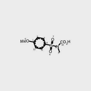 COc1ccc(S(=O)(=O)N(C)C(=O)O)cc1